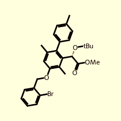 COC(=O)[C@@H](OC(C)(C)C)c1c(C)c(OCc2ccccc2Br)cc(C)c1-c1ccc(C)cc1